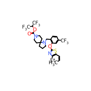 C/C=C\c1sc(Oc2cc(C(F)(F)F)ccc2CN2CCCC23CCN(C(=O)OC(C(F)(F)F)C(F)(F)F)CC3)nc1CC